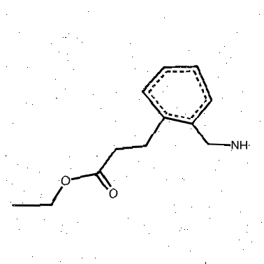 CCOC(=O)CCc1ccccc1C[NH]